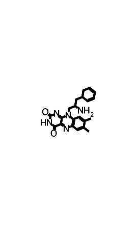 Cc1cc2nc3c(=O)[nH]c(=O)nc-3n(CC(N)CC3C=CC=CC3)c2cc1C